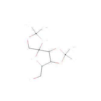 CC1(C)OC2C(CO)OC3(COC(C)(C)O3)C2O1